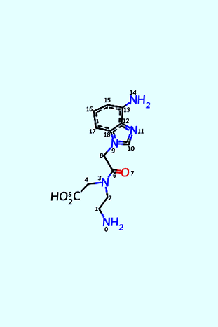 NCCN(CC(=O)O)C(=O)Cn1cnc2c(N)cccc21